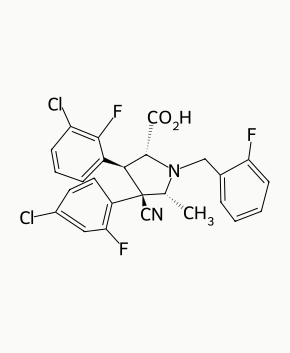 C[C@H]1N(Cc2ccccc2F)[C@@H](C(=O)O)[C@H](c2cccc(Cl)c2F)[C@@]1(C#N)c1ccc(Cl)cc1F